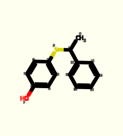 CC(Sc1ccc(O)cc1)c1ccccc1